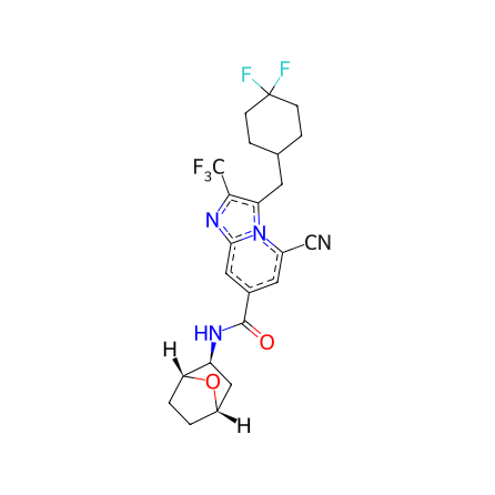 N#Cc1cc(C(=O)N[C@H]2C[C@@H]3CC[C@H]2O3)cc2nc(C(F)(F)F)c(CC3CCC(F)(F)CC3)n12